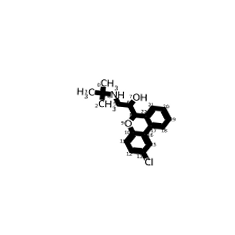 CC(C)(C)NCC(O)C1Oc2ccc(Cl)cc2-c2ccccc21